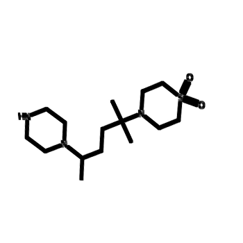 CC(CCC(C)(C)N1CCS(=O)(=O)CC1)N1CCNCC1